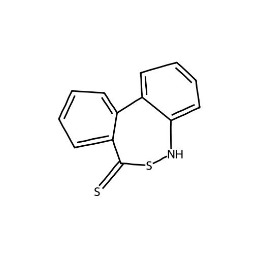 S=C1SNc2ccccc2-c2ccccc21